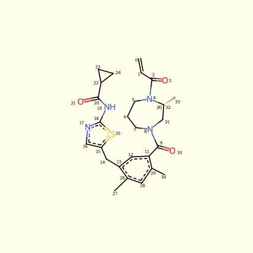 C=CC(=O)N1CCCN(C(=O)c2cc(Cc3cnc(NC(=O)C4CC4)s3)c(C)cc2C)C[C@H]1C